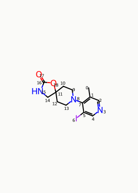 Cc1cncc(I)c1N1CCC2(CC1)CNC(=O)O2